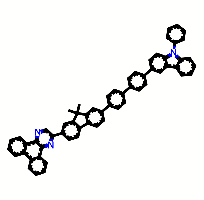 CC1(C)c2cc(-c3ccc(-c4ccc(-c5ccc6c(c5)c5ccccc5n6-c5ccccc5)cc4)cc3)ccc2-c2ccc(-c3cnc4c5ccccc5c5ccccc5c4n3)cc21